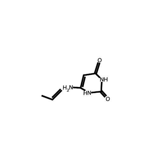 C=CC.Nc1cc(=O)[nH]c(=O)[nH]1